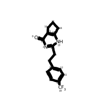 O=c1nc(CCc2ccc(C(F)(F)F)cc2)[nH]c2c1CCC2